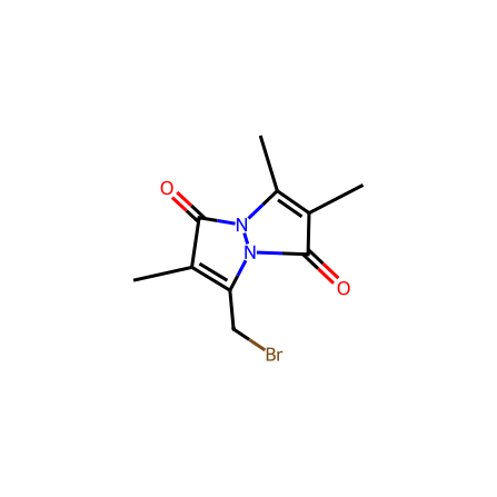 Cc1c(CBr)n2c(=O)c(C)c(C)n2c1=O